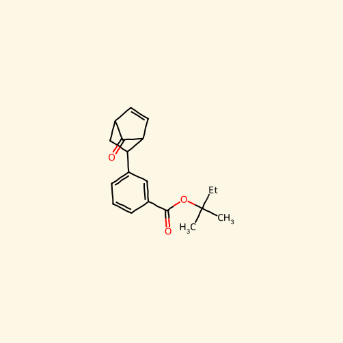 CCC(C)(C)OC(=O)c1cccc(C2CC3C=CC2C3=O)c1